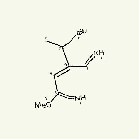 COC(=N)/C=C(\C=N)C(C)C(C)(C)C